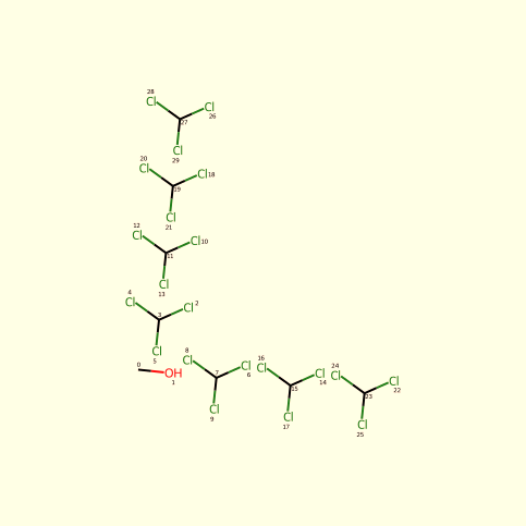 CO.ClC(Cl)Cl.ClC(Cl)Cl.ClC(Cl)Cl.ClC(Cl)Cl.ClC(Cl)Cl.ClC(Cl)Cl.ClC(Cl)Cl